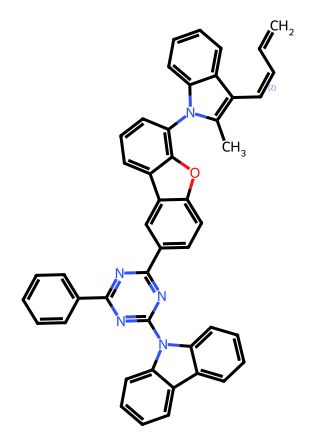 C=C/C=C\c1c(C)n(-c2cccc3c2oc2ccc(-c4nc(-c5ccccc5)nc(-n5c6ccccc6c6ccccc65)n4)cc23)c2ccccc12